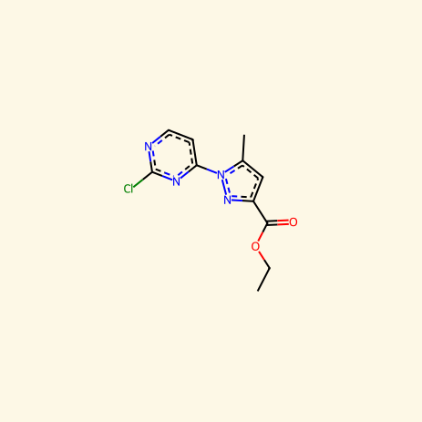 CCOC(=O)c1cc(C)n(-c2ccnc(Cl)n2)n1